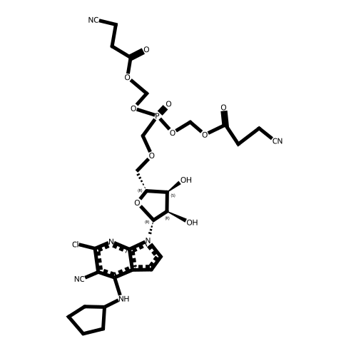 N#CCCC(=O)OCOP(=O)(COC[C@H]1O[C@@H](n2ccc3c(NC4CCCC4)c(C#N)c(Cl)nc32)[C@H](O)[C@@H]1O)OCOC(=O)CCC#N